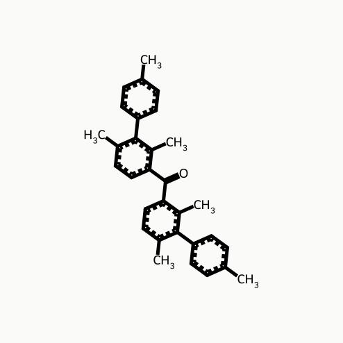 Cc1ccc(-c2c(C)ccc(C(=O)c3ccc(C)c(-c4ccc(C)cc4)c3C)c2C)cc1